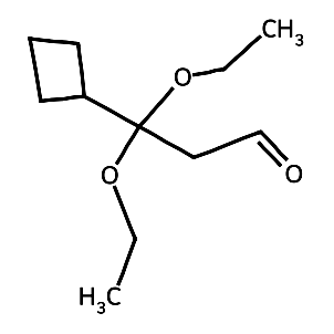 CCOC(CC=O)(OCC)C1CCC1